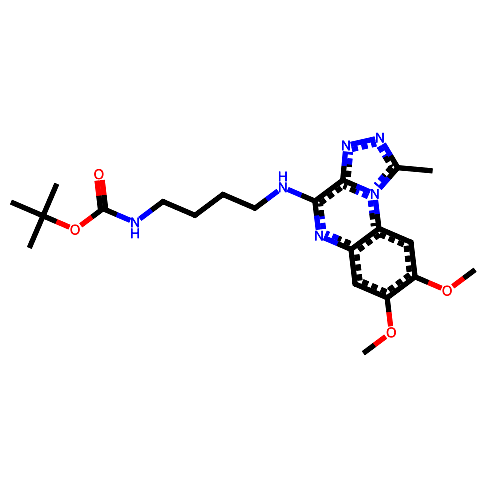 COc1cc2nc(NCCCCNC(=O)OC(C)(C)C)c3nnc(C)n3c2cc1OC